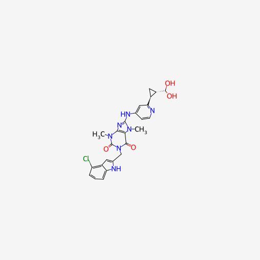 Cn1c(Nc2ccnc([C@H]3C[C@@H]3C(O)O)c2)nc2c1c(=O)n(Cc1cc3c(Cl)cccc3[nH]1)c(=O)n2C